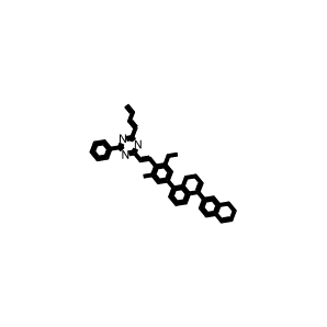 C=C/C=C/c1nc(/C=C/c2c(C)cc(-c3cccc4c3CCC=C4c3ccc4c(c3)CCC=C4)cc2CC)nc(-c2ccccc2)n1